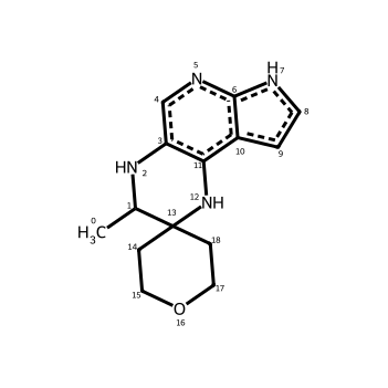 CC1Nc2cnc3[nH]ccc3c2NC12CCOCC2